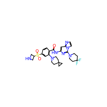 O=C(Nc1cc2nccn2c(N2CCC(F)(F)CC2)n1)c1ccc(S(=O)(=O)C2CNC2)cc1N1CCC2(CC1)CC2